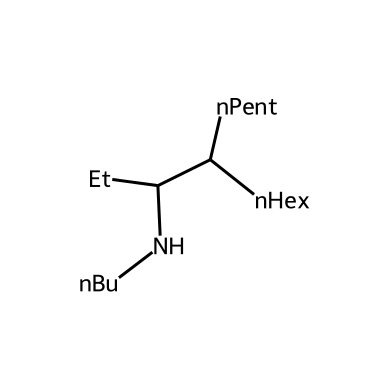 CCCCCCC(CCCCC)C(CC)NCCCC